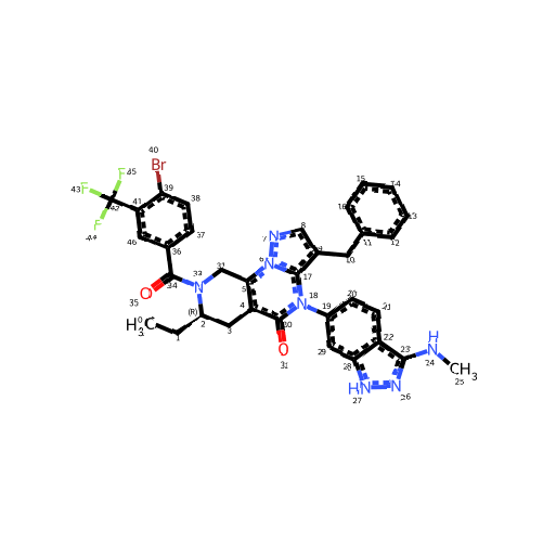 CC[C@@H]1Cc2c(n3ncc(Cc4ccccc4)c3n(-c3ccc4c(NC)n[nH]c4c3)c2=O)CN1C(=O)c1ccc(Br)c(C(F)(F)F)c1